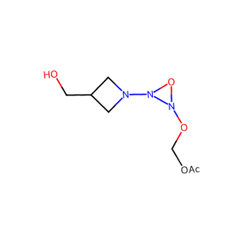 CC(=O)OCOn1on1N1CC(CO)C1